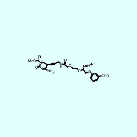 CC[C@@H](OC)N1CC(C#CCNC(=O)COCCOC(COc2cccc(C=O)c2)N=[N+]=[N-])C(N)=NC1=O